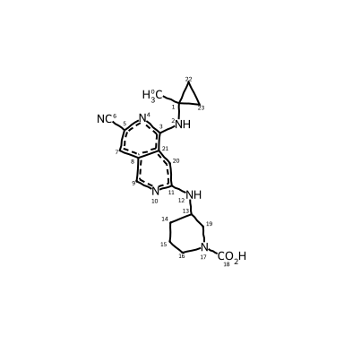 CC1(Nc2nc(C#N)cc3cnc(NC4CCCN(C(=O)O)C4)cc23)CC1